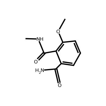 CNC(=O)c1c(OC)cccc1C(N)=O